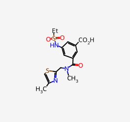 CCS(=O)(=O)Nc1cc(C(=O)O)cc(C(=O)N(C)Cc2nc(C)cs2)c1